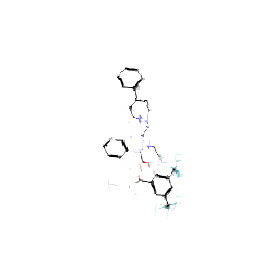 C[C@@H](O[C@H]1OCCN(CCN2CCC(c3ccccc3)CC2)[C@H]1c1ccccc1)c1cc(C(F)(F)F)cc(C(F)(F)F)c1